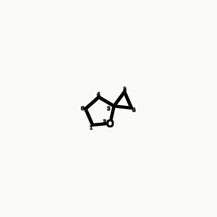 [CH]1COC2(C1)CC2